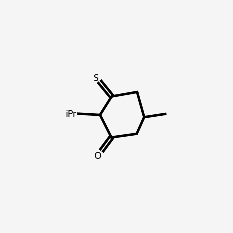 CC1CC(=O)C(C(C)C)C(=S)C1